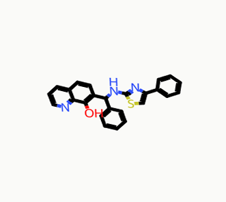 Oc1c(C(Nc2nc(-c3ccccc3)cs2)c2ccccc2)ccc2cccnc12